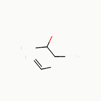 C=CC(=O)O.CCOC(=O)CC(O)C(=O)OCC